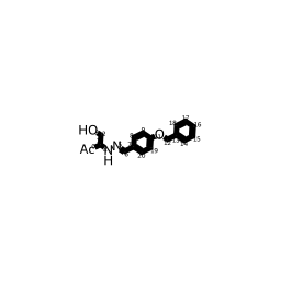 CC(=O)C(CO)NN=Cc1ccc(OCc2ccccc2)cc1